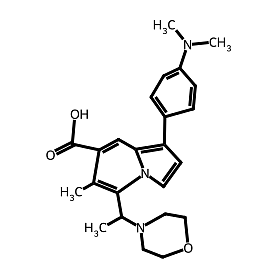 Cc1c(C(=O)O)cc2c(-c3ccc(N(C)C)cc3)ccn2c1C(C)N1CCOCC1